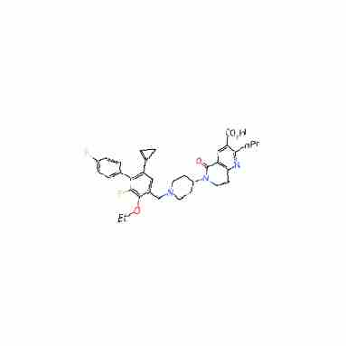 CCCc1nc2c(cc1C(=O)O)C(=O)N(C1CCN(Cc3cc(C4CC4)c(-c4ccc(F)cc4)c(F)c3OCC)CC1)CC2